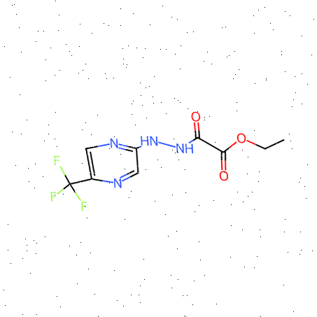 CCOC(=O)C(=O)NNc1cnc(C(F)(F)F)cn1